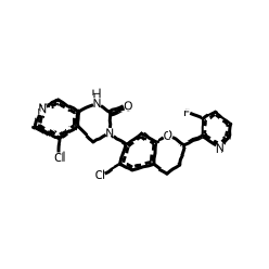 O=C1Nc2cncc(Cl)c2CN1c1cc2c(cc1Cl)CCC(c1ncccc1F)O2